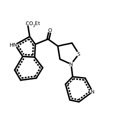 CCOC(=O)c1[nH]c2ccccc2c1C(=O)C1CSN(c2cccnc2)C1